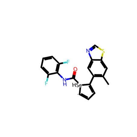 Cc1cc2scnc2cc1C1=CC=[C][SeH]1C(=O)Nc1c(F)cccc1F